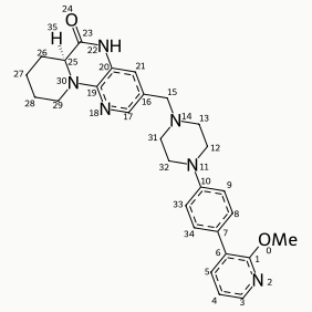 COc1ncccc1-c1ccc(N2CCN(Cc3cnc4c(c3)NC(=O)[C@@H]3CCCCN43)CC2)cc1